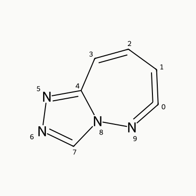 C1=CC=Cc2nncn2N=1